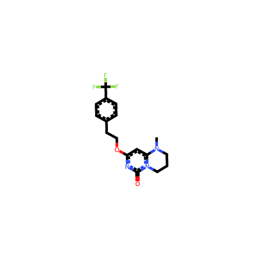 CN1CCCn2c1cc(OCCc1ccc(C(F)(F)F)cc1)nc2=O